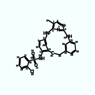 Cc1cnc2nc1Nc1ccc(NS(=O)(=O)c3ccccc3Cl)c(c1)CCc1cccc(c1)N2